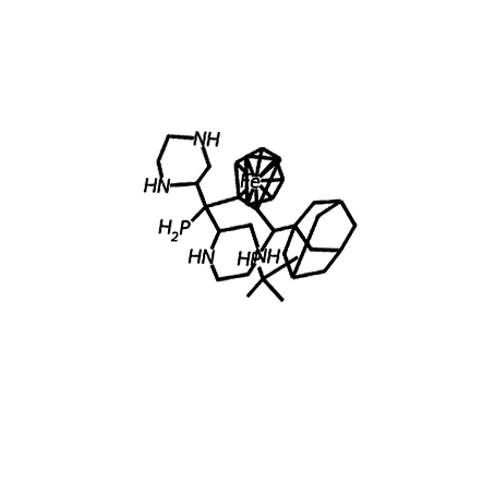 CC(C)(C)PC(C12CC3CC(CC(C3)C1)C2)[C]12[CH]3[CH]4[CH]5[C]1(C(P)(C1CNCCN1)C1CNCCN1)[Fe]43521678[CH]2[CH]1[CH]6[CH]7[CH]28